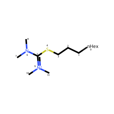 CCCCCCCCCSC(N(C)C)=[N+](C)C